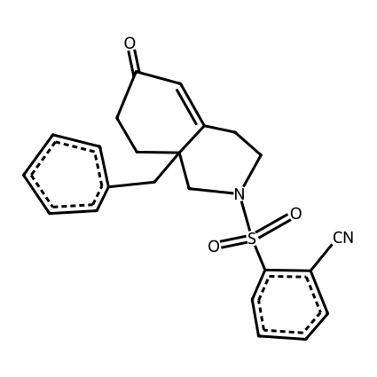 N#Cc1ccccc1S(=O)(=O)N1CCC2=CC(=O)CCC2(Cc2ccccc2)C1